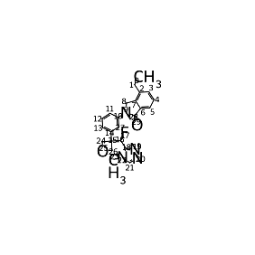 CCc1cccc2c1CN(c1cccc(C3([C@@H](F)c4nncn4C)COC3)c1)C2=O